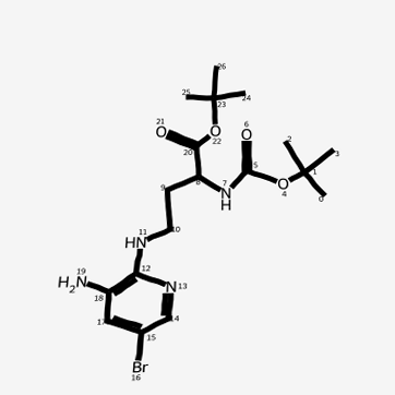 CC(C)(C)OC(=O)NC(CCNc1ncc(Br)cc1N)C(=O)OC(C)(C)C